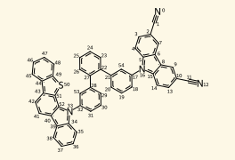 N#Cc1ccc2c(c1)c1cc(C#N)ccc1n2-c1cccc(-c2ccccc2-c2cccc(-n3c4ccccc4c4ccc5c6ccccc6sc5c43)c2)c1